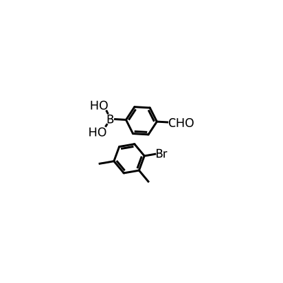 Cc1ccc(Br)c(C)c1.O=Cc1ccc(B(O)O)cc1